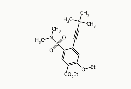 CCOC(=O)c1cc(S(=O)(=O)N(C)C)c(C#C[Si](C)(C)C)cc1OCC